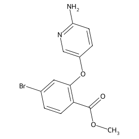 COC(=O)c1ccc(Br)cc1Oc1ccc(N)nc1